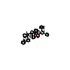 C1=C(c2cccc3c2-c2ccccc2C32c3ccccc3-c3c(-c4nc(-c5cccc6c5oc5ccccc56)c5ccccc5n4)cccc32)N=C(c2ccccc2)NC1c1ccccc1